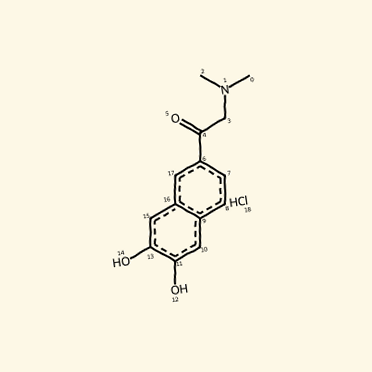 CN(C)CC(=O)c1ccc2cc(O)c(O)cc2c1.Cl